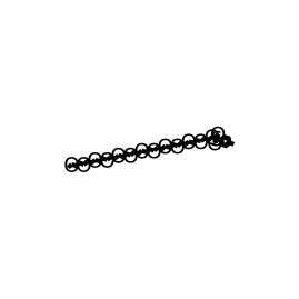 COCCOCCOCCOCCOCCOCCOCCOCCOCCOCCOCCOCCOS(=O)(=O)c1ccc(C)cc1